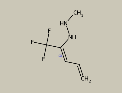 C=C/C=C(\NNC)C(F)(F)F